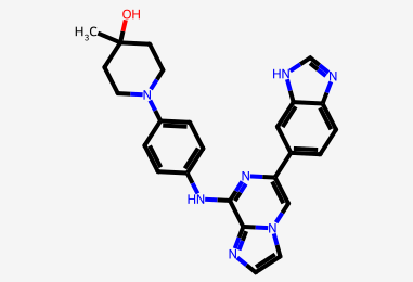 CC1(O)CCN(c2ccc(Nc3nc(-c4ccc5nc[nH]c5c4)cn4ccnc34)cc2)CC1